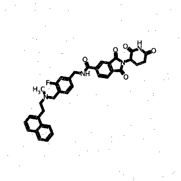 CN(CCc1cccc2ccccc12)Cc1ccc(CNC(=O)c2ccc3c(c2)C(=O)N(C2CCC(=O)NC2=O)C3=O)cc1F